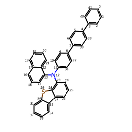 c1ccc(-c2ccc(-c3ccc(N(c4cccc5ccccc45)c4cccc5c4sc4ccccc45)cc3)cc2)cc1